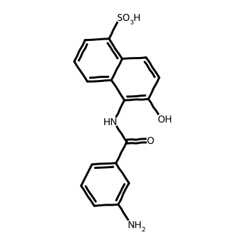 Nc1cccc(C(=O)Nc2c(O)ccc3c(S(=O)(=O)O)cccc23)c1